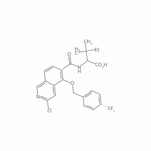 CCC(C)(C)C(NC(=O)c1ccc2cnc(Cl)cc2c1OCc1ccc(C(F)(F)F)cc1)C(=O)O